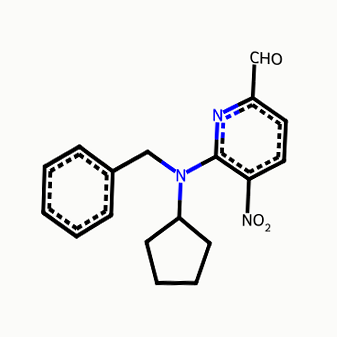 O=Cc1ccc([N+](=O)[O-])c(N(Cc2ccccc2)C2CCCC2)n1